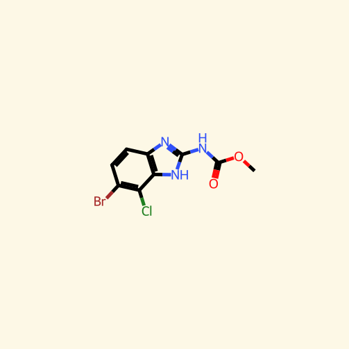 COC(=O)Nc1nc2ccc(Br)c(Cl)c2[nH]1